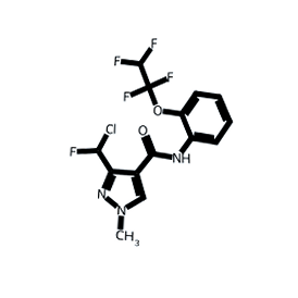 Cn1cc(C(=O)Nc2ccccc2OC(F)(F)C(F)F)c(C(F)Cl)n1